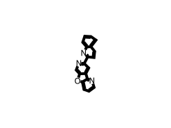 c1ccc2nc(-c3cc4c(cn3)oc3cccnc34)ccc2c1